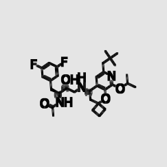 CC(=O)N[C@@H](Cc1cc(F)cc(F)c1)[C@H](O)CN[C@H]1CC2(CCC2)Oc2c1cc(CC(C)(C)C)nc2OC(C)C